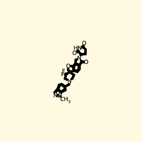 Cn1ncc2ccc(CN3CCC4(COc5c4ccc4c5CN([C@H]5CCC(=O)NC5=O)C4=O)C(F)(F)C3)cc21